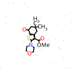 COC(=O)c1c(N2CCOCC2)sc2c1CC(C)(C)CC2=O